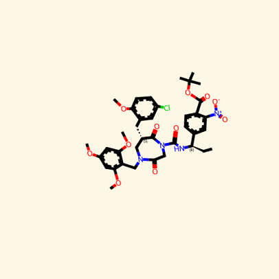 CC[C@@H](NC(=O)N1CC(=O)N(Cc2c(OC)cc(OC)cc2OC)C[C@H](Cc2cc(Cl)ccc2OC)C1=O)c1ccc(C(=O)OC(C)(C)C)c([N+](=O)[O-])c1